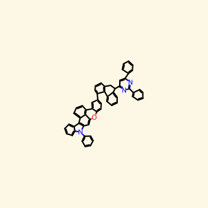 c1ccc(-c2cc(C3Cc4cccc(-c5ccc6c(c5)-c5cccc7c5c(cc5c7c7ccccc7n5-c5ccccc5)O6)c4-c4ccccc43)nc(-c3ccccc3)n2)cc1